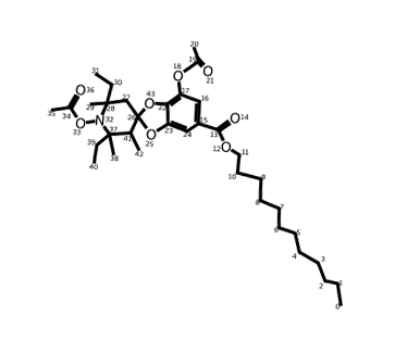 CCCCCCCCCCCCOC(=O)c1cc(OC(C)=O)c2c(c1)OC1(CC(C)(CC)N(OC(C)=O)C(C)(CC)C1C)O2